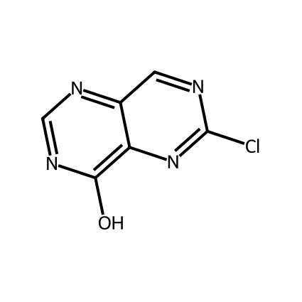 Oc1ncnc2cnc(Cl)nc12